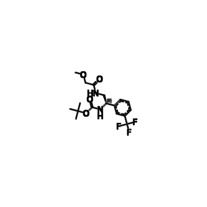 COCC(=O)NC[C@H](NC(=O)OC(C)(C)C)c1cccc(C(F)(F)F)c1